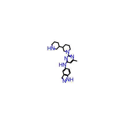 Cc1cc(Nc2ccc3[nH]ncc3c2)nc(N2CCCC(C3CCCNC3)C2)n1